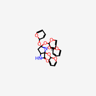 O=C1NC2CC(OC3C=CC=CO3)(OC3C=CC=CO3)N(O[C@H]3C=CC=CO3)C12OC1C=CC=CO1